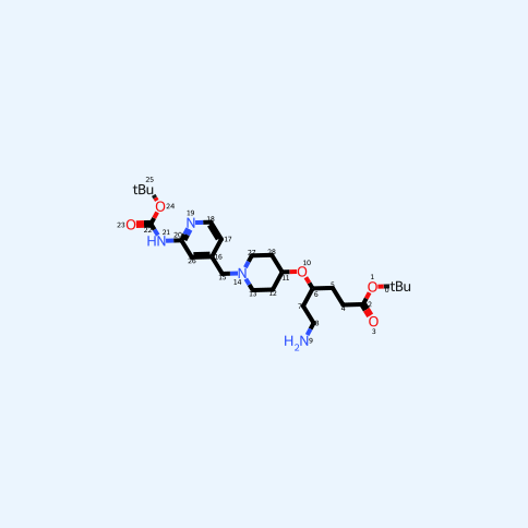 CC(C)(C)OC(=O)CCC(CCN)OC1CCN(Cc2ccnc(NC(=O)OC(C)(C)C)c2)CC1